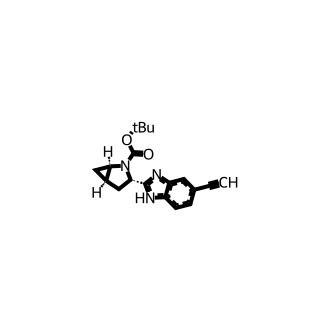 C#Cc1ccc2[nH]c([C@@H]3C[C@H]4C[C@H]4N3C(=O)OC(C)(C)C)nc2c1